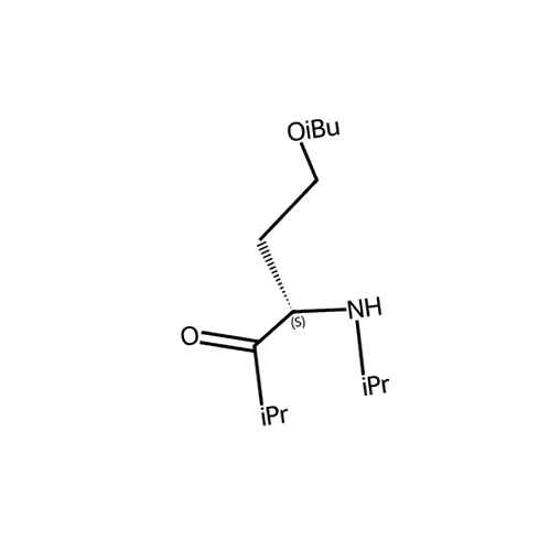 CC(C)COCC[C@H](NC(C)C)C(=O)C(C)C